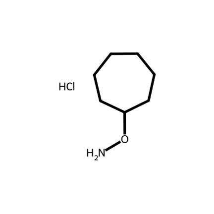 Cl.NOC1CCCCCC1